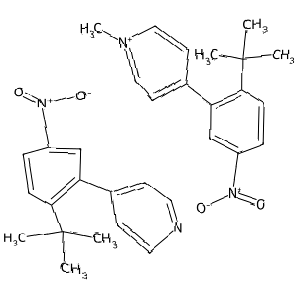 CC(C)(C)c1ccc([N+](=O)[O-])cc1-c1ccncc1.C[n+]1ccc(-c2cc([N+](=O)[O-])ccc2C(C)(C)C)cc1